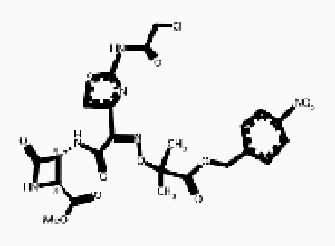 COC(=O)[C@H]1NC(=O)[C@@H]1NC(=O)C(=NOC(C)(C)C(=O)OCc1ccc([N+](=O)[O-])cc1)c1csc(NC(=O)CCl)n1